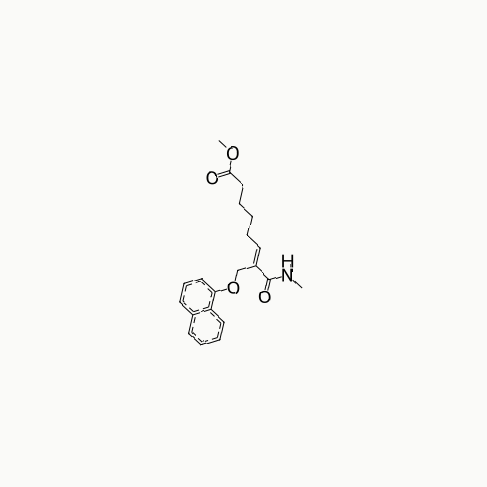 CNC(=O)/C(=C/CCCCC(=O)OC)COc1cccc2ccccc12